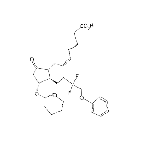 O=C(O)CCC/C=C\C[C@H]1C(=O)C[C@@H](OC2CCCCO2)[C@@H]1CCC(F)(F)COc1ccccc1